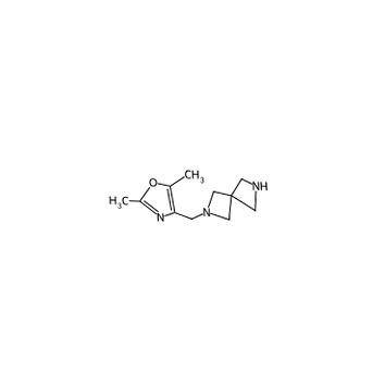 Cc1nc(CN2CC3(CNC3)C2)c(C)o1